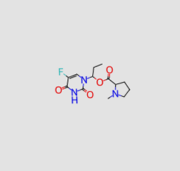 CCC(OC(=O)C1CCCN1C)n1cc(F)c(=O)[nH]c1=O